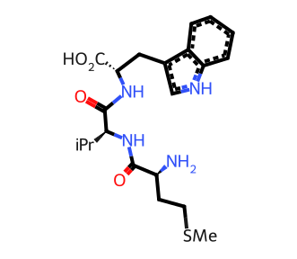 CSCC[C@H](N)C(=O)N[C@H](C(=O)N[C@@H](Cc1c[nH]c2ccccc12)C(=O)O)C(C)C